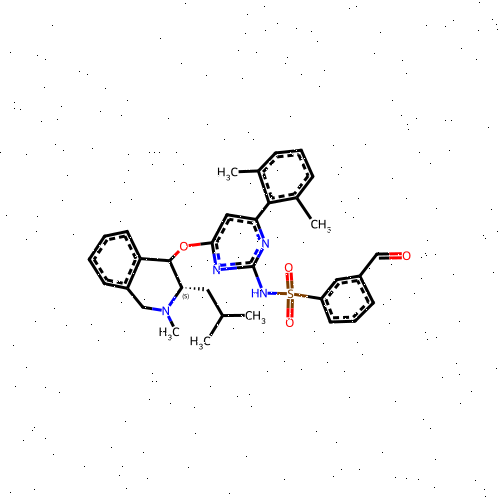 Cc1cccc(C)c1-c1cc(OC2c3ccccc3CN(C)[C@H]2CC(C)C)nc(NS(=O)(=O)c2cccc(C=O)c2)n1